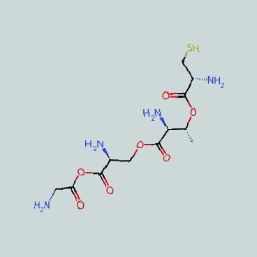 C[C@@H](OC(=O)[C@@H](N)CS)[C@H](N)C(=O)OC[C@H](N)C(=O)OC(=O)CN